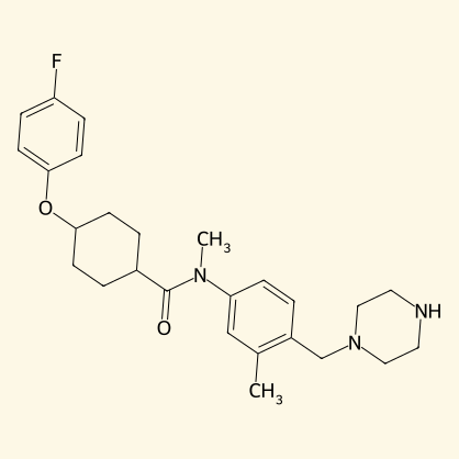 Cc1cc(N(C)C(=O)C2CCC(Oc3ccc(F)cc3)CC2)ccc1CN1CCNCC1